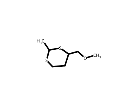 COCC1CCS[C](C)S1